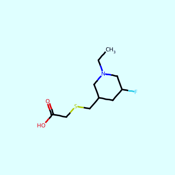 CCN1CC(F)CC(CSCC(=O)O)C1